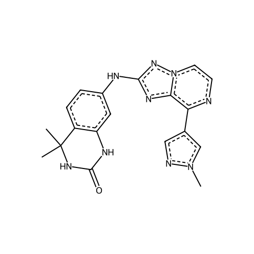 Cn1cc(-c2nccn3nc(Nc4ccc5c(c4)NC(=O)NC5(C)C)nc23)cn1